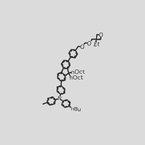 CCCCCCCCC1(CCCCCCCC)c2cc(-c3ccc(COCOCC4(CC)COC4)cc3)ccc2-c2ccc(-c3ccc(N(c4ccc(C)cc4)c4ccc(CCCC)cc4)cc3)cc21